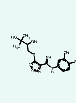 CC(C)(O)C(O)CSc1nonc1C(=N)Nc1ccc(F)c(C#N)c1